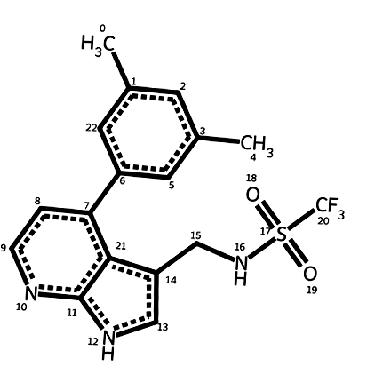 Cc1cc(C)cc(-c2ccnc3[nH]cc(CNS(=O)(=O)C(F)(F)F)c23)c1